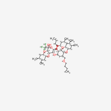 CCCCOCC1CC(OC2C(COCCCC)OC(O)(C(F)(F)F)C(OCCCC)C2OCCCC)C(OCCCC)C(OCCCC)C1OCCCC